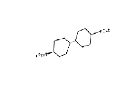 CCCCCCCCC1CCC([C@H]2CC[C@H](CCCCC)CC2)CC1